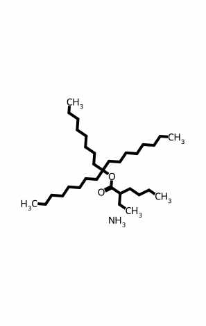 CCCCCCCCC(CCCCCCCC)(CCCCCCCC)OC(=O)C(CC)CCCC.N